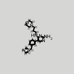 Nc1ncc(-c2cccc(Cn3ccnc3)c2)c(NCCCN2CCOCC2)n1